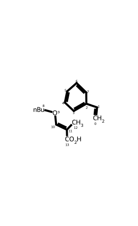 C=Cc1ccccc1.CCCCOC=C(C)C(=O)O